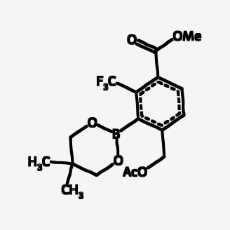 COC(=O)c1ccc(COC(C)=O)c(B2OCC(C)(C)CO2)c1C(F)(F)F